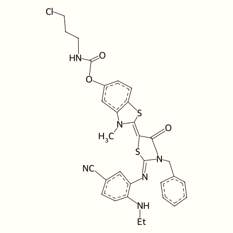 CCNc1ccc(C#N)cc1N=C1SC(=C2Sc3ccc(OC(=O)NCCCCl)cc3N2C)C(=O)N1Cc1ccccc1